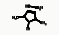 CCC1N(C)C=CN1C.O=S(=O)(O)O